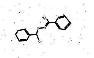 C/C(=N\OC(O)C1=CCCC=C1)c1ccccc1